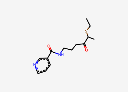 CCSC(C)C(=O)CCCNC(=O)c1cccnc1